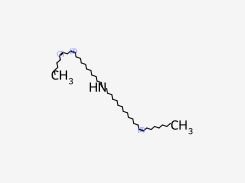 CCCCC/C=C\C/C=C\CCCCCCCCCCNCCCCCCCCCCCCC/C=C\CCCCCCCC